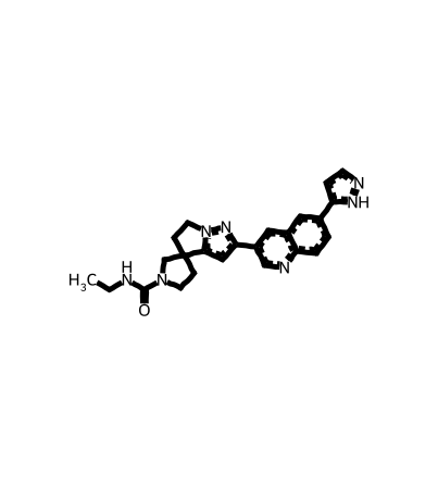 CCNC(=O)N1CCC2(CCn3nc(-c4cnc5ccc(-c6ccn[nH]6)cc5c4)cc32)C1